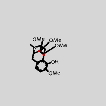 COc1ccc2c(c1O)C13CCN(C)C(C2)C1CC(OC)(OC)C(OC)C3